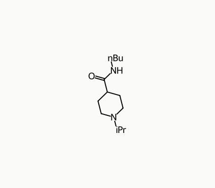 CCCCNC(=O)C1CCN(C(C)C)CC1